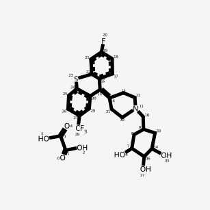 O=C(O)C(=O)O.OC1CC(CN2CCC(=C3c4ccc(F)cc4Sc4ccc(C(F)(F)F)cc43)CC2)CC(O)C1O